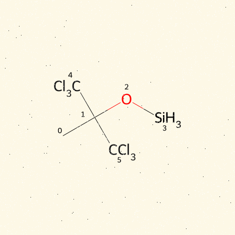 CC(O[SiH3])(C(Cl)(Cl)Cl)C(Cl)(Cl)Cl